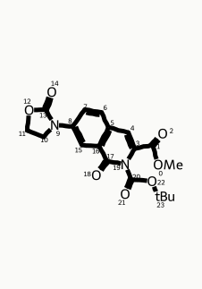 COC(=O)c1cc2ccc(N3CCOC3=O)cc2c(=O)n1C(=O)OC(C)(C)C